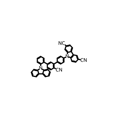 N#Cc1ccc2c(c1)c1ccc(C#N)cc1n2-c1ccc(-c2cc(-c3ccccc3-n3c4ccccc4c4ccccc43)ccc2C#N)cc1